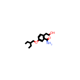 CCC(CC)COc1ccc([CH]CO)c(C(N)=O)c1